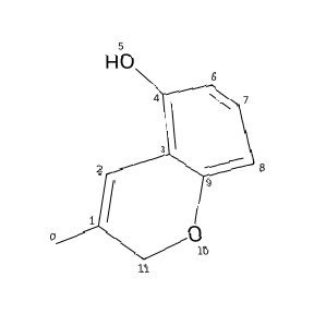 CC1=[C]c2c(O)cccc2OC1